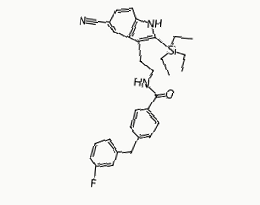 CC[Si](CC)(CC)c1[nH]c2ccc(C#N)cc2c1CCNC(=O)c1ccc(Cc2cccc(F)c2)cc1